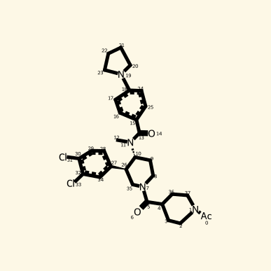 CC(=O)N1CCC(C(=O)N2CC[C@@H](N(C)C(=O)c3ccc(N4CCCC4)cc3)[C@H](c3ccc(Cl)c(Cl)c3)C2)CC1